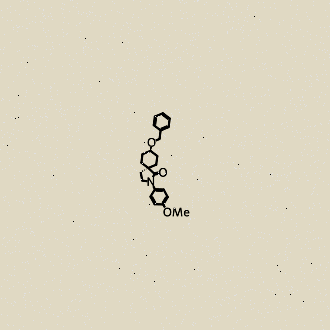 COc1ccc(N2CC[C@]3(CC[C@H](OCc4ccccc4)CC3)C2=O)cc1